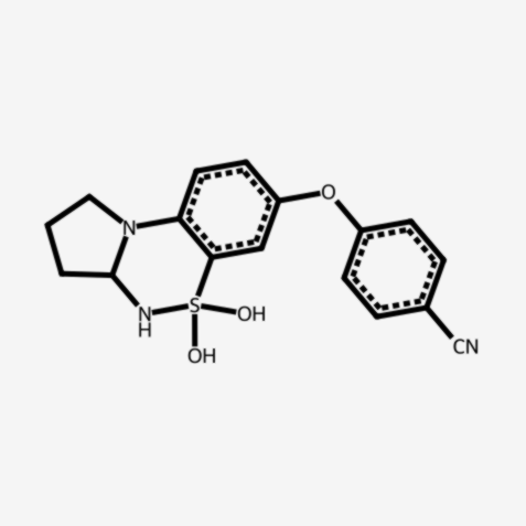 N#Cc1ccc(Oc2ccc3c(c2)S(O)(O)NC2CCCN32)cc1